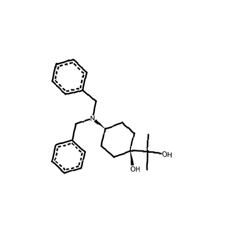 CC(C)(O)[C@]1(O)CC[C@@H](N(Cc2ccccc2)Cc2ccccc2)CC1